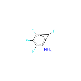 Fc1cc2c(c(F)c1F)C2F.N